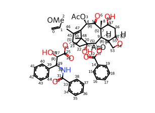 C=COC.CC(=O)O[C@H]1C(=O)[C@@]2(C)[C@H]([C@H](OC(=O)c3ccccc3)[C@]3(O)C[C@H](OC(=O)[C@H](O)[C@@H](NC(=O)c4ccccc4)c4ccccc4)C(C)=C1C3(C)C)[C@]1(OC(C)=O)CO[C@@H]1C[C@@H]2O